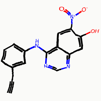 C#Cc1cccc(Nc2ncnc3cc(O)c([N+](=O)[O-])cc23)c1